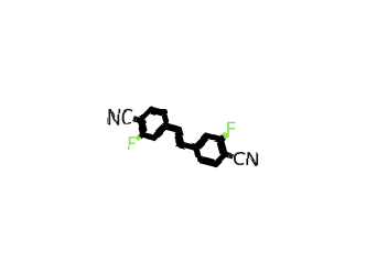 N#Cc1ccc(C=Cc2ccc(C#N)c(F)c2)cc1F